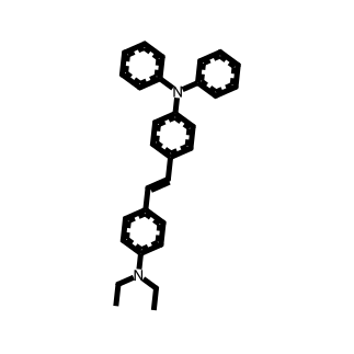 CCN(CC)c1ccc(C=Cc2ccc(N(c3ccccc3)c3ccccc3)cc2)cc1